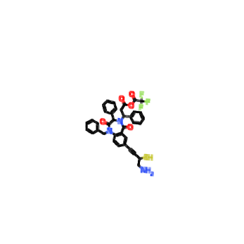 NCC(S)C#Cc1ccc2c(c1)C(=O)N(C(CC(=O)OC(=O)C(F)(F)F)c1ccccc1)C(c1ccccc1)C(=O)N2Cc1ccccc1